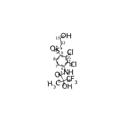 CC(O)(C(=O)Nc1ccc([S+]([O-])CCO)c(Cl)c1Cl)C(F)(F)F